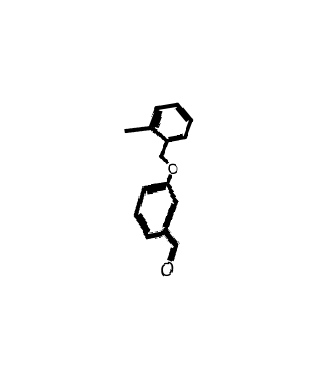 Cc1ccccc1COc1cccc(C=O)c1